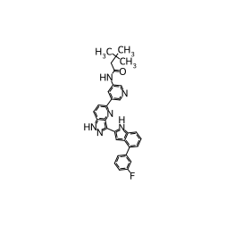 CC(C)(C)CC(=O)Nc1cncc(-c2ccc3[nH]nc(-c4cc5c(-c6cccc(F)c6)cccc5[nH]4)c3n2)c1